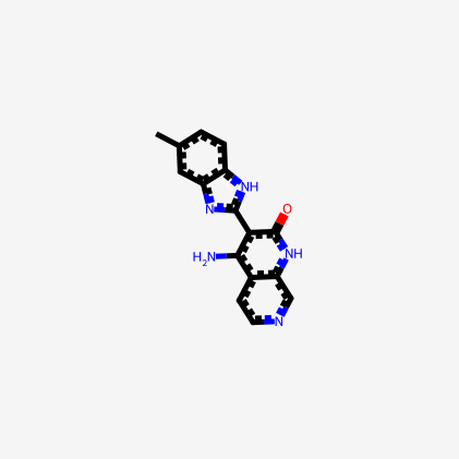 Cc1ccc2[nH]c(-c3c(N)c4ccncc4[nH]c3=O)nc2c1